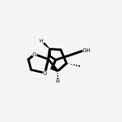 C[C@H]1C[C@@H]2CC(O)C[C@H]1C21OCCO1